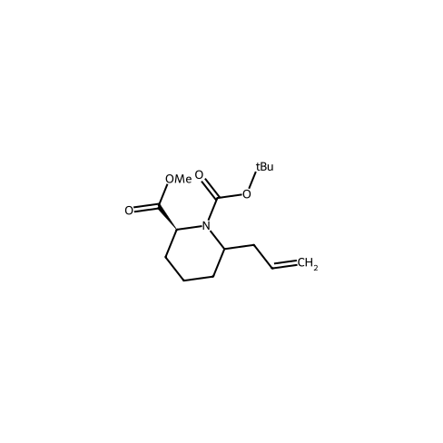 C=CCC1CCC[C@@H](C(=O)OC)N1C(=O)OC(C)(C)C